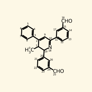 CC1C(c2ccccc2)=CC(c2cccc(C=O)c2)=NC1c1cccc(C=O)c1